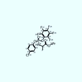 CC(C)OC(=O)C(C)NP(=O)(Oc1ccc(Cl)cc1)Oc1c(F)c(F)c(F)c(F)c1F